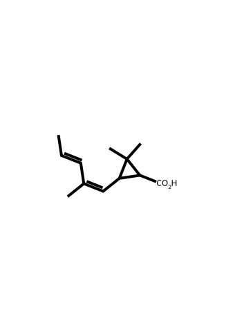 CC=CC(C)=CC1C(C(=O)O)C1(C)C